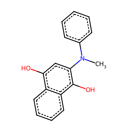 CN(c1ccccc1)c1cc(O)c2ccccc2c1O